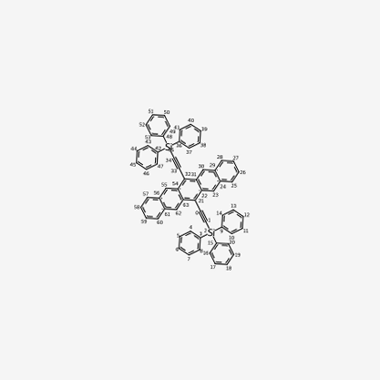 C(#C[Si](c1ccccc1)(c1ccccc1)c1ccccc1)c1c2cc3ccccc3cc2c(C#C[Si](c2ccccc2)(c2ccccc2)c2ccccc2)c2cc3ccccc3cc12